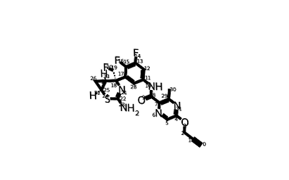 C#CCOc1cnc(C(=O)Nc2cc(F)c(F)c([C@@]3(CF)N=C(N)S[C@H]4C[C@H]43)c2)c(C)n1